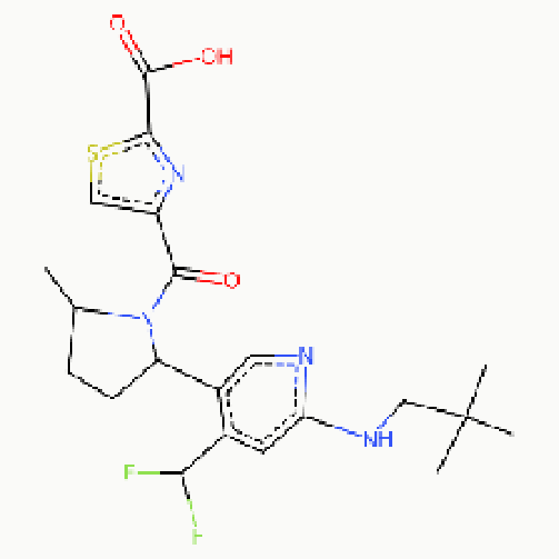 CC1CCC(c2cnc(NCC(C)(C)C)cc2C(F)F)N1C(=O)c1csc(C(=O)O)n1